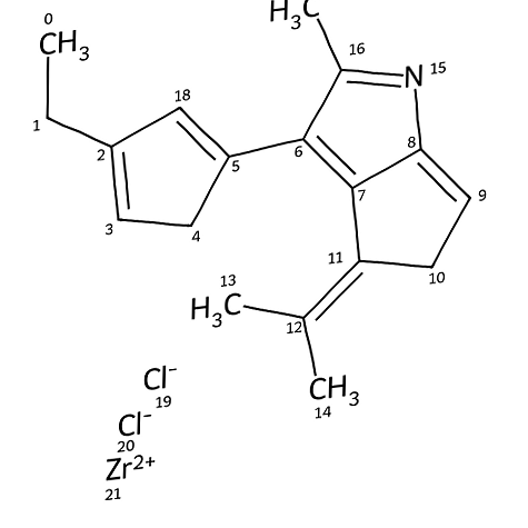 CCC1=CCC(C2=C3C(=CCC3=C(C)C)N=C2C)=C1.[Cl-].[Cl-].[Zr+2]